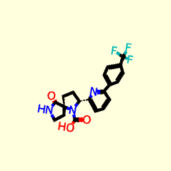 O=C(O)N1[C@@H](c2cccc(-c3ccc(C(F)(F)F)cc3)n2)CC[C@]12CCNC2=O